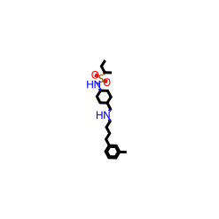 CCC(C)S(=O)(=O)NC1CCC(CNCCCCc2cccc(C)c2)CC1